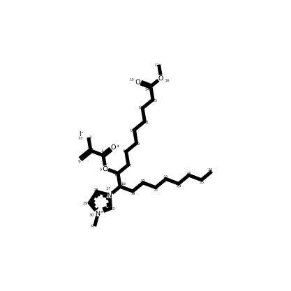 C=C(C)C(=O)OC(CCCCCCCC(=O)OC)C(CCCCCCCC)n1cc[n+](C)c1.[I-]